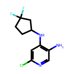 Nc1cnc(Cl)cc1NC1CCC(F)(F)C1